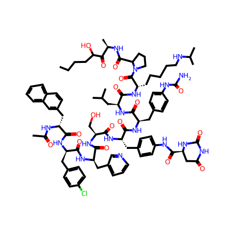 CCCCC(O)C(=O)[C@@H](C)NC(=O)C1CCCN1C(=O)[C@H](CCCCCNC(C)C)NC(=O)[C@H](CC(C)C)NC(=O)[C@@H](Cc1ccc(NC(N)=O)cc1)NC(=O)[C@H](Cc1ccc(NC(=O)[C@@H]2CC(=O)NC(=O)N2)cc1)NC(=O)[C@H](CO)NC(=O)[C@@H](Cc1cccnc1)NC(=O)[C@@H](Cc1ccc(Cl)cc1)NC(=O)[C@@H](Cc1ccc2ccccc2c1)NC(C)=O